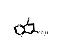 O=C(O)c1cc(Br)c2nccnc2c1